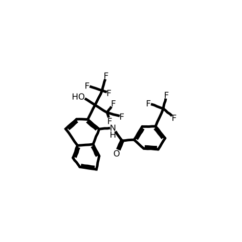 O=C(Nc1c(C(O)(C(F)(F)F)C(F)(F)F)ccc2ccccc12)c1cccc(C(F)(F)F)c1